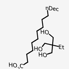 CCC(CO)(CO)CO.CCCCCCCCCCCCCCCCCCCC(=O)O